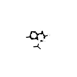 CC(C)n1nc(N)c(=O)c2ccc(Br)cc21